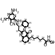 N#Cc1c(N)nc(N)nc1NCCCc1nc2cccc(CCCCCC(=O)NO)c2c(=O)n1-c1ccccc1